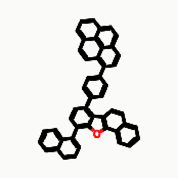 c1ccc2c(-c3ccc(-c4ccc(-c5ccc6ccc7cccc8ccc5c6c78)cc4)c4c3oc3c5ccccc5ccc34)cccc2c1